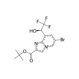 CC(C)(C)OC(=O)c1cn2cc(Br)cc([C@@H](O)C(F)(F)F)c2n1